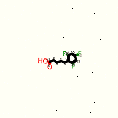 O=C(O)CCCCc1c(F)cc(F)cc1F